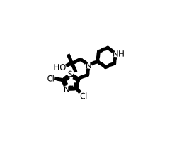 CC(C)(O)CN(Cc1sc(Cl)nc1Cl)C1CCNCC1